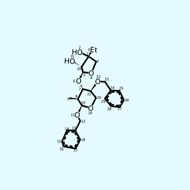 CC[C@@]1(O)CO[C@@H](O[C@H]2[C@H](C)[C@H](OCc3ccccc3)OC[C@@H]2OCc2ccccc2)[C@@H]1O